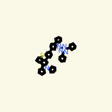 c1ccc(-c2nc(-c3ccccc3)nc(-n3c4ccccc4c4ccc(-c5ccc6c(c5)Sc5cccc7c5c-6cc5c7c6ccccc6n5-c5ccccc5)cc43)n2)cc1